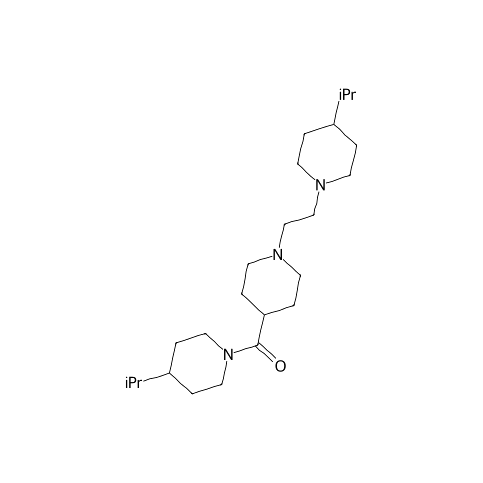 CC(C)C1CCN(CCN2CCC(C(=O)N3CCC(C(C)C)CC3)CC2)CC1